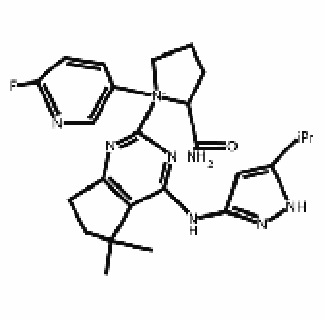 CC(C)c1cc(Nc2nc([N+]3(c4ccc(F)nc4)CCCC3C(N)=O)nc3c2C(C)(C)CC3)n[nH]1